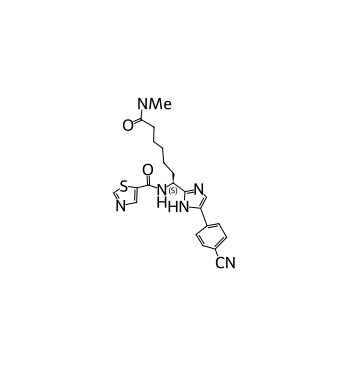 CNC(=O)CCCCC[C@H](NC(=O)c1cncs1)c1ncc(-c2ccc(C#N)cc2)[nH]1